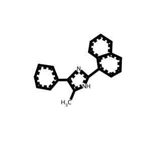 Cc1[nH]c(-c2cccc3ccccc23)nc1-c1ccccc1